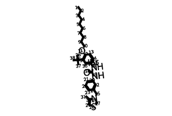 Br.CCCCCCCCCCOc1ccc(NC(=O)Nc2cccc(CN3CSC=C3C)c2)cc1C(C)(C)C